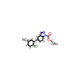 CC(C)(C)COC(=O)n1ncc2cc(-c3cc(C#N)ccc3Cl)ccc21